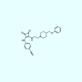 N#Cc1ccc(Nc2c(NCCN3CCC(COc4ccccc4)CC3)c(=O)c2=O)cc1